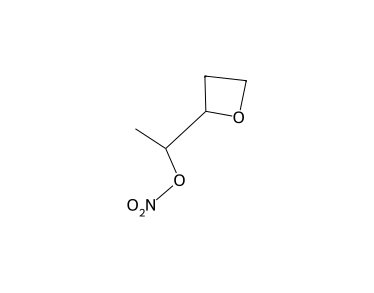 CC(O[N+](=O)[O-])C1CCO1